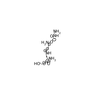 NCCNC(=O)c1cccc(OCC(N)OCCOCC(=O)NCC#Cc2cn([C@H]3CC[C@@H](CCO)O3)c(=O)nc2N)c1